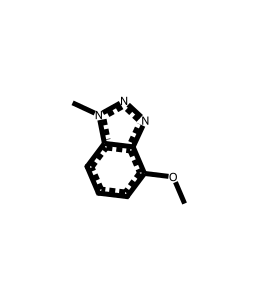 COc1cccc2c1nnn2C